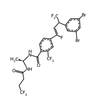 C[C@H](NC(=O)CCC(F)(F)F)NC(=O)c1ccc(/C(F)=C/C(c2cc(Br)cc(Br)c2)C(F)(F)F)cc1C(F)(F)F